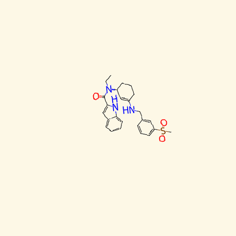 CCN(C(=O)c1cc2ccccc2[nH]1)[C@@H]1C=C(NCc2cccc(S(C)(=O)=O)c2)CCC1